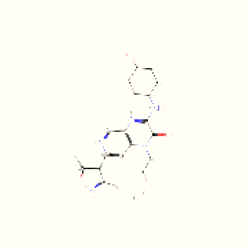 CCCOCCn1c(=O)c(NC2CCC(O)CC2)nc2cnc(C3C(C)=NOC3C)cc21